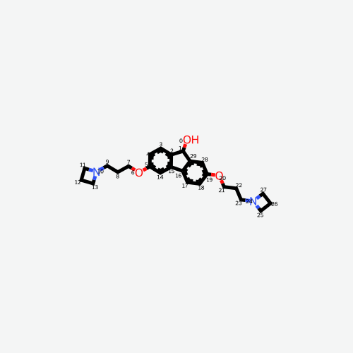 OC1c2ccc(OCCCN3CCC3)cc2-c2ccc(OCCCN3CCC3)cc21